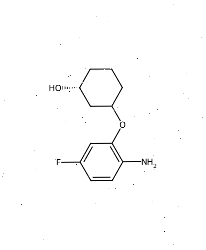 Nc1ccc(F)cc1OC1CCC[C@@H](O)C1